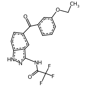 CCOc1cccc(C(=O)c2ccc3[nH]nc(NC(=O)C(F)(F)F)c3c2)c1